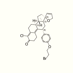 C[C@]12C[C@H](c3ccc(OCCBr)cc3)C3=C4CCC(=O)C(Cl)=C4CC[C@H]3[C@@H]1CC[C@@]21C=CCO1